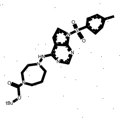 Cc1ccc(S(=O)(=O)n2ccc3c(NN4CCCN(C(=O)OC(C)(C)C)CC4)ncnc32)cc1